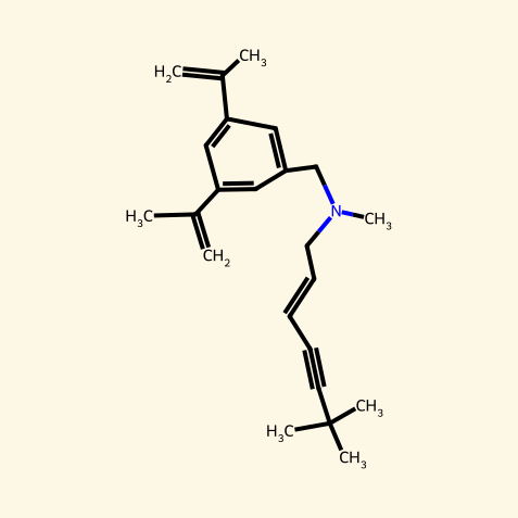 C=C(C)c1cc(CN(C)CC=CC#CC(C)(C)C)cc(C(=C)C)c1